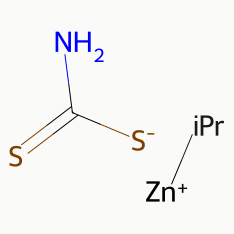 C[CH](C)[Zn+].NC(=S)[S-]